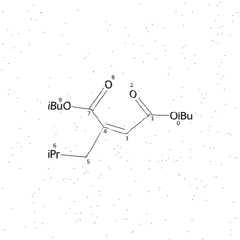 CC(C)COC(=O)/C=C(/CC(C)C)C(=O)OCC(C)C